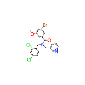 COc1cc(Br)cc(C(=O)N(Cc2cccnc2)Cc2ccc(Cl)cc2Cl)c1